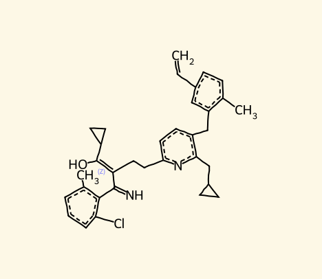 C=Cc1ccc(C)c(Cc2ccc(CC/C(C(=N)c3c(C)cccc3Cl)=C(/O)C3CC3)nc2CC2CC2)c1